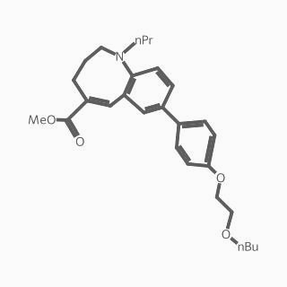 CCCCOCCOc1ccc(-c2ccc3c(c2)/C=C(/C(=O)OC)CCCN3CCC)cc1